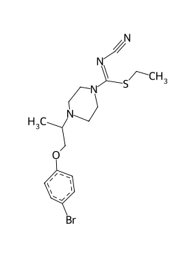 CCS/C(=N\C#N)N1CCN(C(C)COc2ccc(Br)cc2)CC1